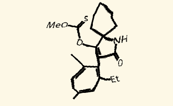 CCc1cc(C)cc(C)c1C1=C(OC(=S)OC)C2(CCCCC2)NC1=O